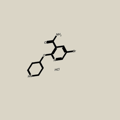 Cl.NC(=O)c1cc(Br)cnc1OC1CCNCC1